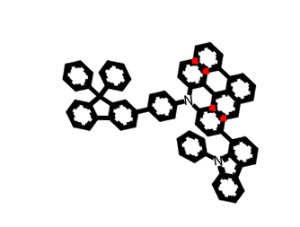 c1ccc(-c2cccc3cccc(-c4ccccc4N(c4ccc(-c5ccc6c(c5)C(c5ccccc5)(c5ccccc5)c5ccccc5-6)cc4)c4ccc(-c5cccc6c7ccccc7n(-c7ccccc7)c56)cc4)c23)cc1